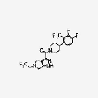 O=C(c1n[nH]c2c1CN(CC(F)(F)F)C2)N1CCC(c2ccc(F)c(F)c2C(F)(F)F)CC1